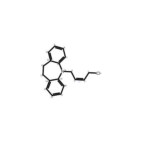 ClC/C=C\CN1c2ccccc2CCc2ccccc21